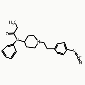 CCC(=O)N(c1ccccc1)C1CCN(CCc2ccc(N=[N+]=[N-])cc2)CC1